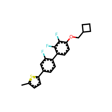 Cc1ccc(-c2ccc(-c3ccc(OCC4CCC4)c(F)c3F)c(F)c2)s1